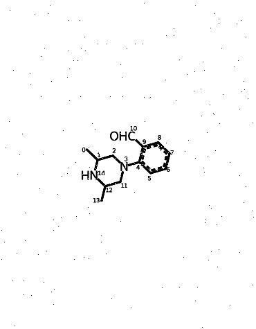 CC1CN(c2ccccc2C=O)CC(C)N1